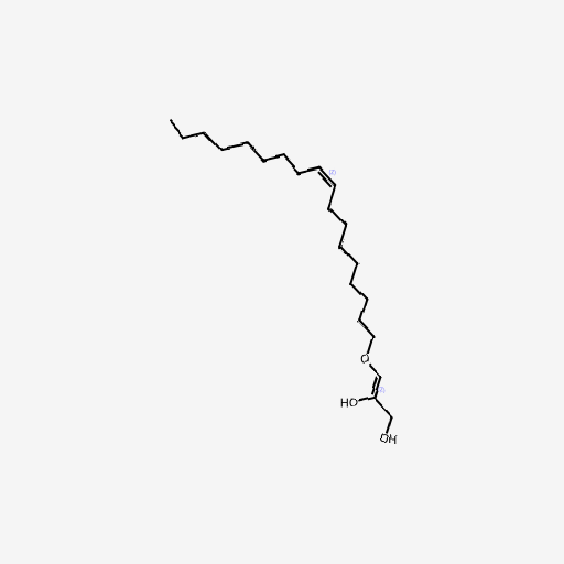 CCCCCCCC/C=C\CCCCCCCCO/C=C(\O)CO